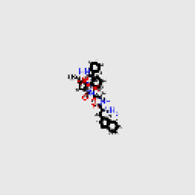 CC(C)(C)OC(=O)N[C@@H](Cc1c[nH]c2ccccc12)C(=O)N(C(=O)[C@H](CC(=O)O)NC(=O)[C@@H](N)Cc1ccc2ccccc2c1)C(=O)[C@@H]1CCC[C@H]1c1ccccc1